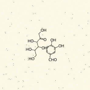 O=C(CO)C(O)C(O)C(O)CO.O=Cc1ccc(O)c(O)c1